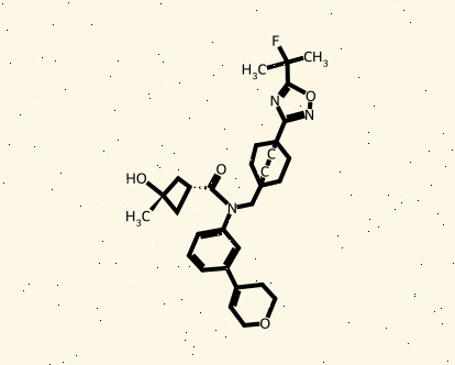 CC(C)(F)c1nc(C23CCC(CN(c4cccc(C5=CCOCC5)c4)C(=O)[C@H]4C[C@@](C)(O)C4)(CC2)CC3)no1